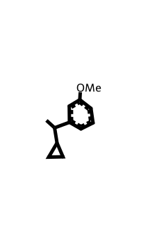 COc1cccc(C(C)C2CC2)c1